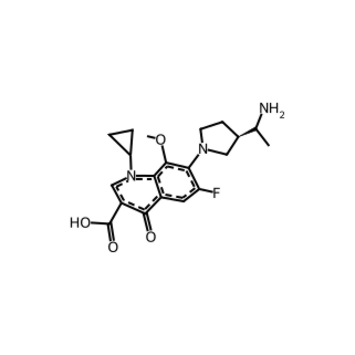 COc1c(N2CC[C@@H](C(C)N)C2)c(F)cc2c(=O)c(C(=O)O)cn(C3CC3)c12